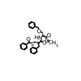 COC(=O)[C@H](COCc1ccccc1)NC(=O)[C@H](CSC(=O)c1ccccc1)Cc1ccccc1